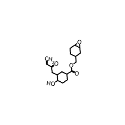 C=CC(=O)CC1CC(C(=O)OCC2CCC3OC3C2)CCC1O